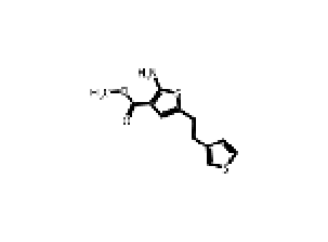 COC(=O)c1cc(CCc2ccsc2)sc1N